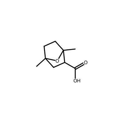 CC12CCC(C)(O1)C(C(=O)O)C2